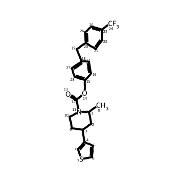 CC1CC(c2ccsc2)CCN1C(=O)Oc1ccc(Cc2ccc(C(F)(F)F)cc2)cc1